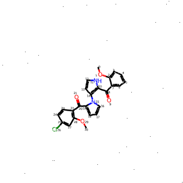 COc1ccccc1C(=O)c1[nH]ccc1-n1cccc1C(=O)c1ccc(Cl)cc1OC